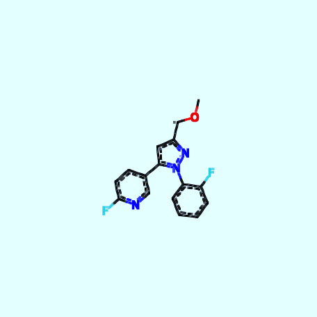 CO[CH]c1cc(-c2ccc(F)nc2)n(-c2ccccc2F)n1